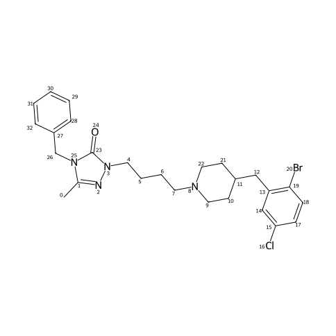 Cc1nn(CCCCN2CCC(Cc3cc(Cl)ccc3Br)CC2)c(=O)n1Cc1ccccc1